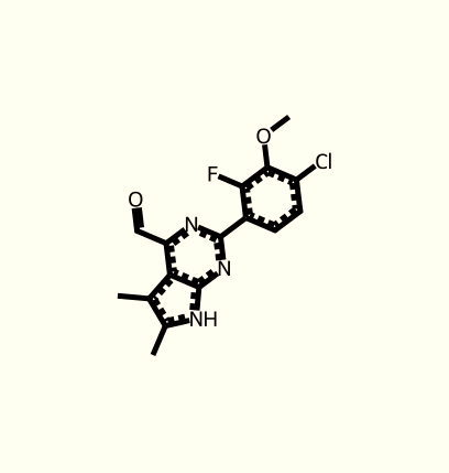 COc1c(Cl)ccc(-c2nc(C=O)c3c(C)c(C)[nH]c3n2)c1F